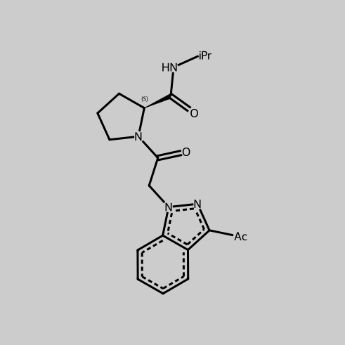 CC(=O)c1nn(CC(=O)N2CCC[C@H]2C(=O)NC(C)C)c2ccccc12